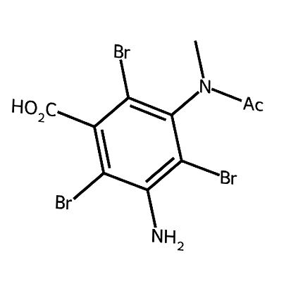 CC(=O)N(C)c1c(Br)c(N)c(Br)c(C(=O)O)c1Br